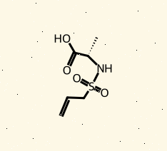 C=CCS(=O)(=O)N[C@@H](C)C(=O)O